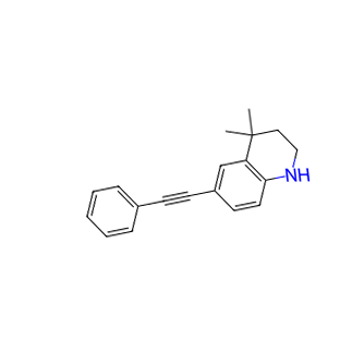 CC1(C)CCNc2ccc(C#Cc3ccccc3)cc21